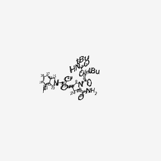 CC(C)(C)NC(=O)O[C@H](C(=O)N1C[C@H](OC(=O)N2Cc3cccc(F)c3C2)C[C@H]1C(N)=O)C(C)(C)C